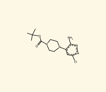 CC(C)(C)OC(=O)N1CCN(c2cc(Cl)nnc2N)CC1